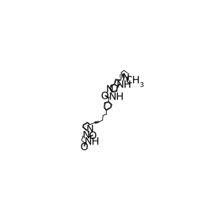 CN1CCC[C@@H]1c1cc2cnc(NC(=O)c3ccc(CCCC#Cc4cccc(N5CCC(=O)NC5=O)n4)cc3)cc2[nH]1